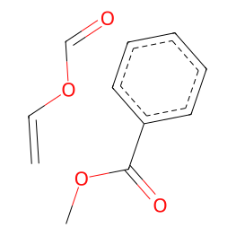 C=COC=O.COC(=O)c1ccccc1